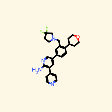 Nc1ncc(-c2ccc(C3CCOCC3)c(CN3CCC(F)(F)C3)c2)cc1-c1ccncc1